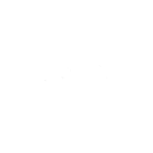 O=C(CC1CC2CCC1C2)Nn1c(-c2ccccc2)nc2ccccc2c1=O